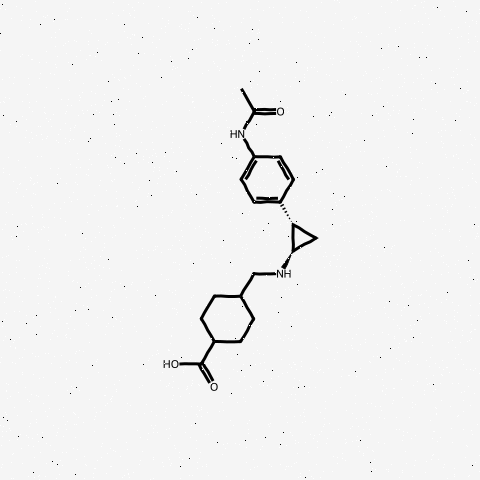 CC(=O)Nc1ccc([C@@H]2C[C@H]2NCC2CCC(C(=O)O)CC2)cc1